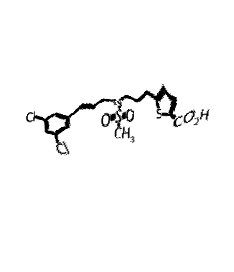 CS(=O)(=O)N(CC=Cc1cc(Cl)cc(Cl)c1)CCCc1ccc(C(=O)O)s1